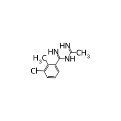 CC(=N)NC(=N)c1cccc(Cl)c1C